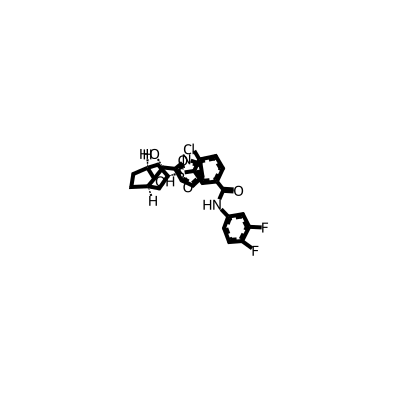 O=C(Nc1ccc(F)c(F)c1)c1ccc(Cl)c(S(=O)(=O)[C@@H]2C[C@H]3CC[C@@H](C2)[C@@]3(O)[C@H](O)c2ccccn2)c1